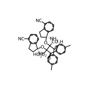 Cc1ccc(C(=O)C(O[C@@]2(N)CCc3c(C#N)cccc32)(C(=O)O)C(O[C@@]2(N)CCc3c(C#N)cccc32)(C(=O)O)C(=O)c2ccc(C)cc2)cc1